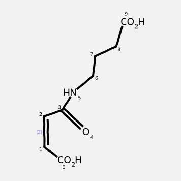 O=C(O)/C=C\C(=O)NCCCC(=O)O